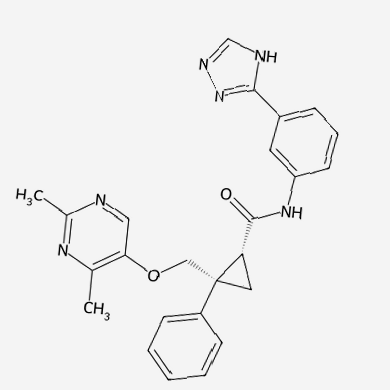 Cc1ncc(OC[C@@]2(c3ccccc3)C[C@H]2C(=O)Nc2cccc(-c3nnc[nH]3)c2)c(C)n1